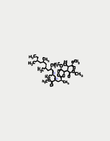 CCC(C)CC(C)CC(C)CC(C)/C=C(C)/C=C(/CC(C)C(=O)OC(C(=O)OC)C(C(=O)OC)C(O)C(=O)OC)C(=O)OC